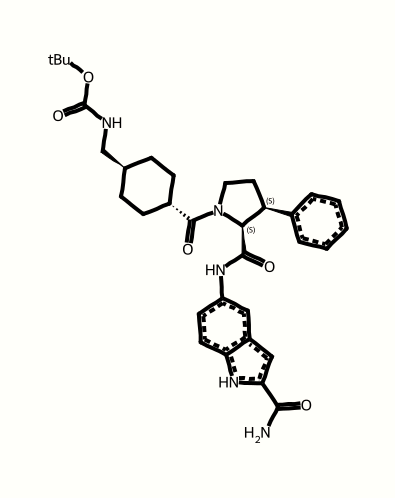 CC(C)(C)OC(=O)NC[C@H]1CC[C@H](C(=O)N2CC[C@@H](c3ccccc3)[C@H]2C(=O)Nc2ccc3[nH]c(C(N)=O)cc3c2)CC1